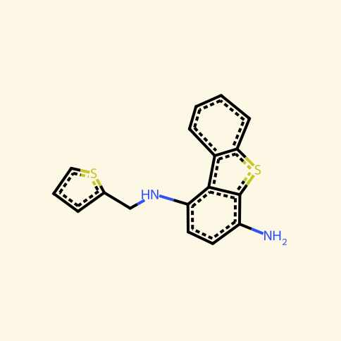 Nc1ccc(NCc2cccs2)c2c1sc1ccccc12